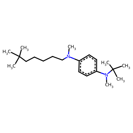 CN(CCCCCC(C)(C)C)c1ccc(N(C)C(C)(C)C)cc1